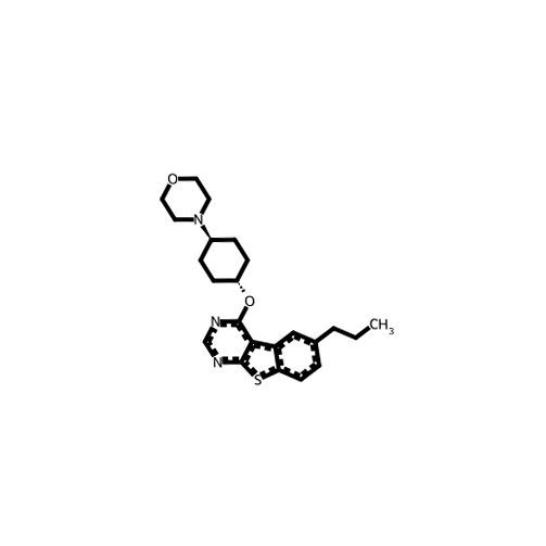 CCCc1ccc2sc3ncnc(O[C@H]4CC[C@H](N5CCOCC5)CC4)c3c2c1